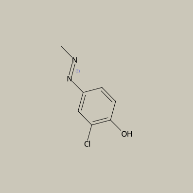 C/N=N/c1ccc(O)c(Cl)c1